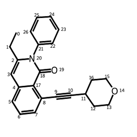 CCc1cc2cccc(C#CC3CCOCC3)c2c(=O)n1-c1ccccc1